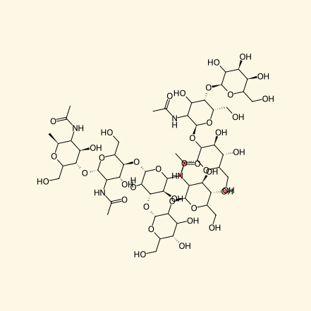 CC(=O)NC1C(O)[C@H](O[C@@H]2OC(CO)[C@H](O)[C@H](O)C2O)[C@H](CO)O[C@H]1OC1[C@@H](OCC2O[C@@H](O[C@@H]3C(CO)O[C@@H](O[C@@H]4C(CO)O[C@@H](C)C(NC(C)=O)[C@H]4O)C(NC(C)=O)[C@H]3O)C(O)[C@@H](O[C@H]3OC(CO)[C@@H](O)C(O)C3O[C@@H]3OC(CO)[C@@H](O)[C@H](O)C3NC(C)=O)[C@@H]2O)OC(CO)[C@@H](O)[C@@H]1O